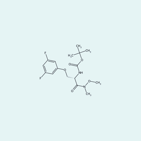 CON(C)C(=O)[C@H](COc1cc(F)cc(F)c1)NC(=O)OC(C)(C)C